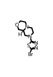 Brc1nnc(N2CCN3CCOC[C@H]3C2)s1